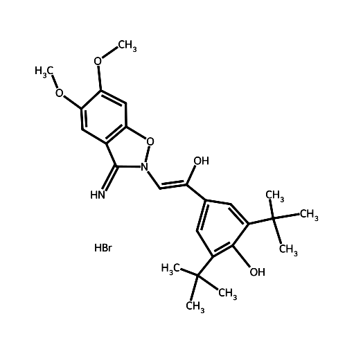 Br.COc1cc2on(/C=C(\O)c3cc(C(C)(C)C)c(O)c(C(C)(C)C)c3)c(=N)c2cc1OC